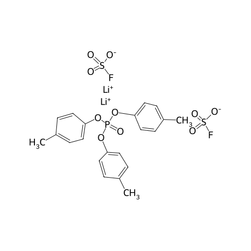 Cc1ccc(OP(=O)(Oc2ccc(C)cc2)Oc2ccc(C)cc2)cc1.O=S(=O)([O-])F.O=S(=O)([O-])F.[Li+].[Li+]